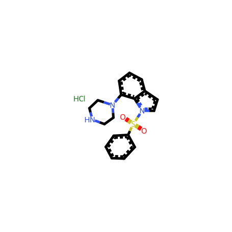 Cl.O=S(=O)(c1ccccc1)n1ccc2cccc(N3CCNCC3)c21